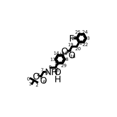 CC(C)(C)OC(=O)CNCC(O)c1ccc(OC(=O)CCc2ccccc2F)cc1